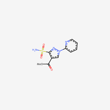 COC(=O)c1cn(-c2ccccn2)nc1S(N)(=O)=O